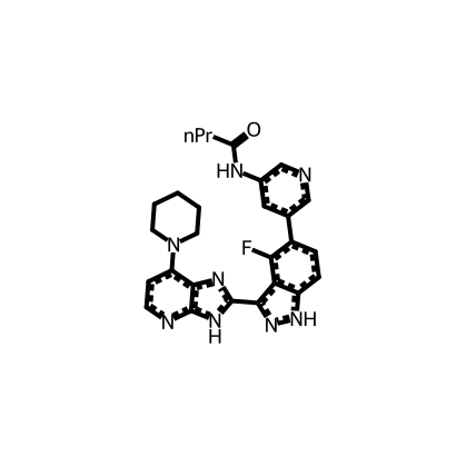 CCCC(=O)Nc1cncc(-c2ccc3[nH]nc(-c4nc5c(N6CCCCC6)ccnc5[nH]4)c3c2F)c1